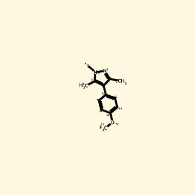 Cc1nn(I)c(C)c1-c1ccc(OC(F)(F)F)cc1